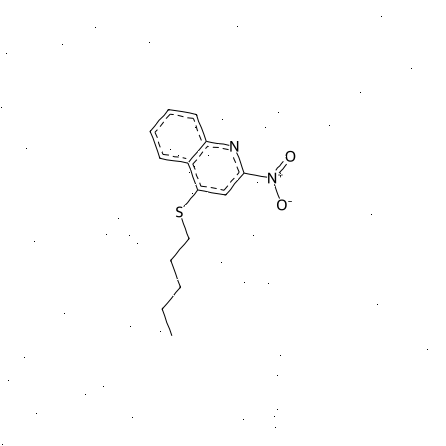 CCCCCSc1cc([N+](=O)[O-])nc2ccccc12